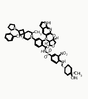 Cc1ccccc1[C@@H]1CCCN1C1CC2(CCN(c3ccc(C(=O)NS(=O)(=O)c4ccc(NC[C@H]5CC[C@](C)(O)CC5)c([N+](=O)[O-])c4)c(N4c5cc6cc[nH]c6nc5O[C@@H]5COC[C@H]54)c3)[C@H](C)C2)C1